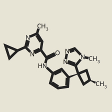 Cc1cc(C(=O)Nc2cccc([C@]3(c4nncn4C)C[C@H](C)C3)c2)nc(C2CC2)n1